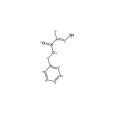 CC(=CS)C(=O)OCc1ccccc1